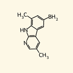 Bc1cc(C)c2[nH]c3ncc(C)cc3c2c1